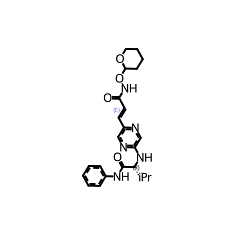 CC(C)[C@@H](Nc1cnc(/C=C/C(=O)NOC2CCCCO2)cn1)C(=O)Nc1ccccc1